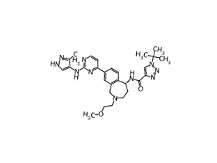 COCCN1CC[C@H](NC(=O)c2cn(C(C)(C)C)nn2)c2ccc(-c3ccnc(Nc4c[nH]nc4C)n3)cc2C1